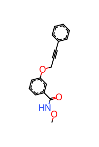 CONC(=O)c1cccc(OCC#Cc2ccccc2)c1